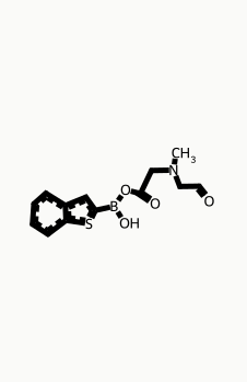 CN(CC=O)CC(=O)OB(O)c1cc2ccccc2s1